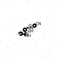 N#Cc1ccc(NC(=O)NCc2cccc(-c3n[nH]cc3-c3ccncc3)c2)cc1